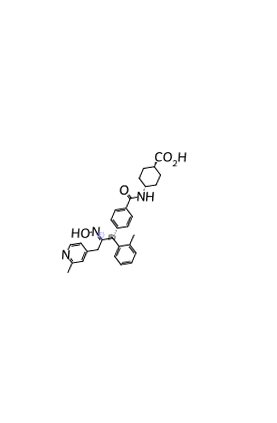 Cc1cc(C/C(=N\O)[C@H](c2ccc(C(=O)N[C@H]3CC[C@H](C(=O)O)CC3)cc2)c2ccccc2C)ccn1